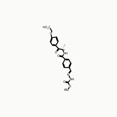 C[C@H](NC(=O)c1ccc(C=NNC(=O)OC(C)(C)C)cc1)C(=O)c1ccc(OCC(=O)O)cc1